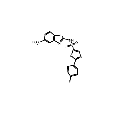 O=C(O)c1ccc2sc(NS(=O)(=O)c3cnc(-c4ccc(F)cc4)s3)nc2c1